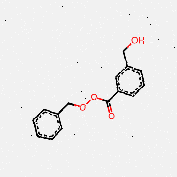 O=C(OOCc1ccccc1)c1cccc(CO)c1